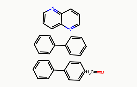 C=O.c1ccc(-c2ccccc2)cc1.c1ccc(-c2ccccc2)cc1.c1cnc2cccnc2c1